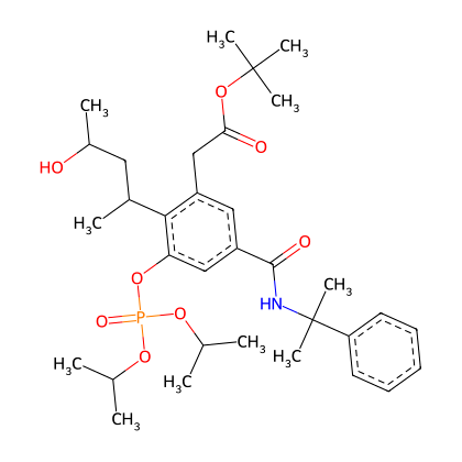 CC(O)CC(C)c1c(CC(=O)OC(C)(C)C)cc(C(=O)NC(C)(C)c2ccccc2)cc1OP(=O)(OC(C)C)OC(C)C